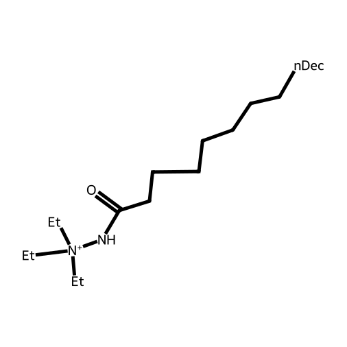 CCCCCCCCCCCCCCCCCC(=O)N[N+](CC)(CC)CC